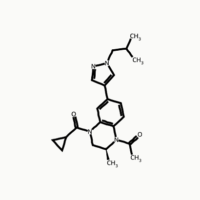 CC(=O)N1c2ccc(-c3cnn(CC(C)C)c3)cc2N(C(=O)C2CC2)C[C@@H]1C